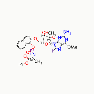 COc1nc(N)nc2c1nc(I)n2[C@@H]1O[C@H](COc2ccc3ccccc3c2O/[P+]([O-])=N/[C@@H](C)C(=O)OC(C)C)[C@@H](O)[C@@]1(C)O